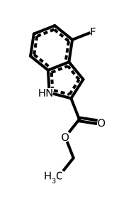 CCOC(=O)c1cc2c(F)cccc2[nH]1